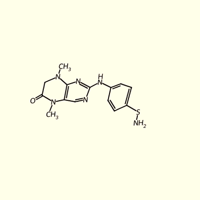 CN1CC(=O)N(C)c2cnc(Nc3ccc(SN)cc3)nc21